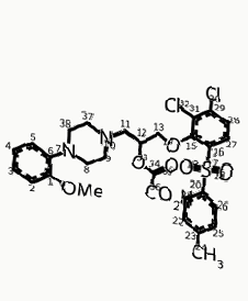 COc1ccccc1N1CCN(CC(COc2c(S(=O)(=O)c3ccc(C)cc3)ccc(Cl)c2Cl)OC(=O)C(=O)O)CC1